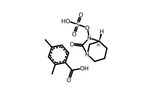 Cc1ccc(C(=O)O)c(C)c1.O=C1N2CCC[C@H](C2)N1OS(=O)(=O)O